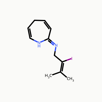 CC(C)=C(I)C/N=C1/C=CCC=CN1